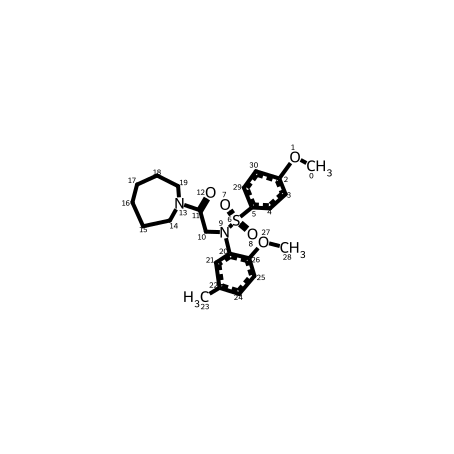 COc1ccc(S(=O)(=O)N(CC(=O)N2CCCCCC2)c2cc(C)ccc2OC)cc1